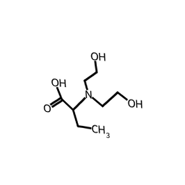 CCC(C(=O)O)N(CCO)CCO